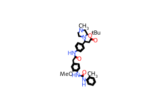 COc1cc(CC(=O)Nc2ccc(C(CC(=O)OC(C)(C)C)N3CCN(C)CC3)cc2)ccc1NC(=O)Nc1ccccc1C